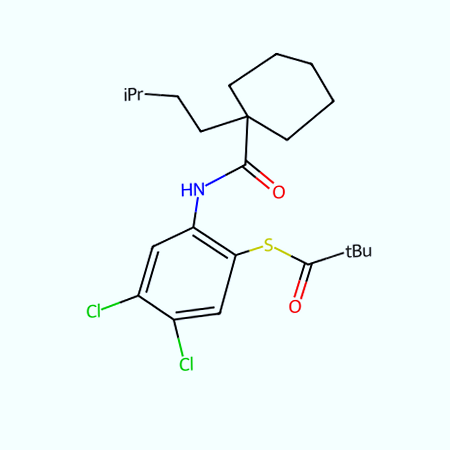 CC(C)CCC1(C(=O)Nc2cc(Cl)c(Cl)cc2SC(=O)C(C)(C)C)CCCCC1